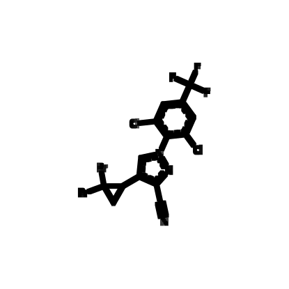 N#Cc1nn(-c2c(Cl)cc(C(F)(F)F)cc2Cl)cc1C1CC1(Br)Br